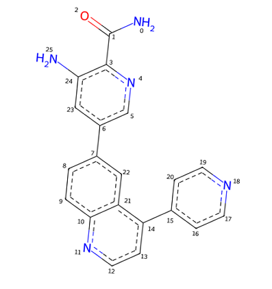 NC(=O)c1ncc(-c2ccc3nccc(-c4ccncc4)c3c2)cc1N